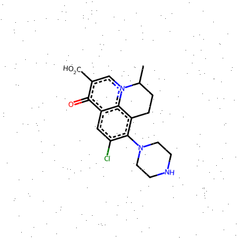 CC1CCc2c(N3CCNCC3)c(Cl)cc3c(=O)c(C(=O)O)cn1c23